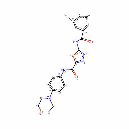 O=C(Nc1nnc(C(=O)Nc2ccc(N3CCOCC3)cc2)o1)c1cccc(F)c1